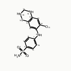 NS(=O)(=O)c1ccc(Nc2cc3c(cc2Cl)NCNS3)cc1